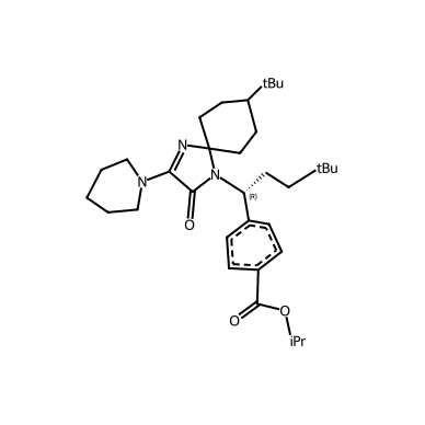 CC(C)OC(=O)c1ccc([C@@H](CCC(C)(C)C)N2C(=O)C(N3CCCCC3)=NC23CCC(C(C)(C)C)CC3)cc1